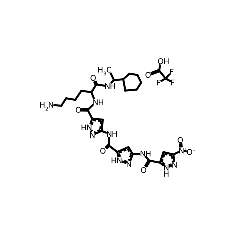 CC(NC(=O)C(CCCCN)NC(=O)c1cc(NC(=O)c2cc(NC(=O)c3cc([N+](=O)[O-])n[nH]3)n[nH]2)n[nH]1)C1CCCCC1.O=C(O)C(F)(F)F